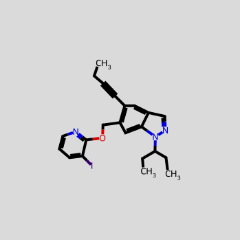 CCC#Cc1cc2cnn(C(CC)CC)c2cc1COc1ncccc1I